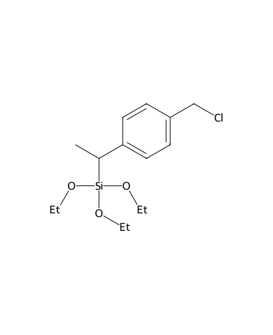 CCO[Si](OCC)(OCC)C(C)c1ccc(CCl)cc1